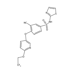 N#Cc1cc(S(=O)(=O)Nc2nccs2)ccc1Oc1ccc(OCC(F)(F)F)nc1